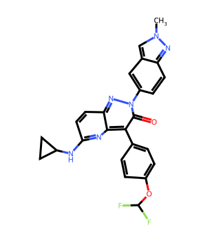 Cn1cc2cc(-n3nc4ccc(NC5CC5)nc4c(-c4ccc(OC(F)F)cc4)c3=O)ccc2n1